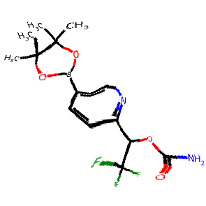 CC1(C)OB(c2ccc(C(OC(N)=O)C(F)(F)F)nc2)OC1(C)C